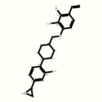 C=Cc1ccc(OCC2CCC(c3ccc(C4CO4)cc3F)CC2)c(F)c1F